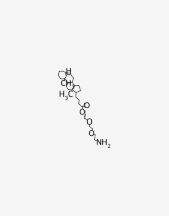 CC12CCC3C(CC[C@@H]4CCCCC34C)C1CCC2CCCC(=O)OCCOCCOCCN